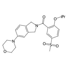 CC(C)Oc1ccc(S(C)(=O)=O)cc1C(=O)N1Cc2ccc(N3CCOCC3)cc2C1